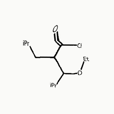 CCOC(C(C)C)C(CC(C)C)C(=O)Cl